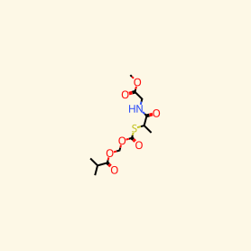 COC(=O)CNC(=O)C(C)SC(=O)OCOC(=O)C(C)C